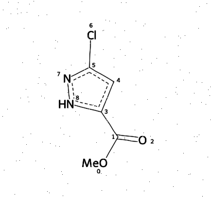 COC(=O)c1cc(Cl)n[nH]1